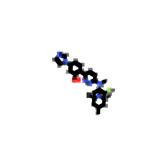 CC1C[C@H]2C[C@H](N(C)c3ccc(-c4ccc(-n5ccnc5)cc4O)nn3)[C@@H](F)[C@@](C)(C1)N2C